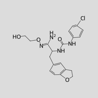 NC(=NOCCO)C(Cc1ccc2c(c1)CCO2)NC(=O)Nc1ccc(Cl)cc1